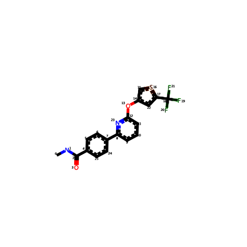 C[N]C(=O)c1ccc(-c2cccc(Oc3csc(C(F)(F)F)c3)n2)cc1